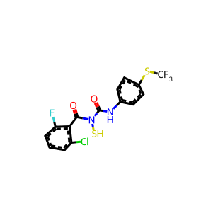 O=C(Nc1ccc(SC(F)(F)F)cc1)N(S)C(=O)c1c(F)cccc1Cl